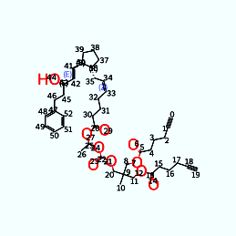 C#CCCCC(=O)OCC(C)(COC(=O)CCCC#C)COC(=O)OC(C)OC(=O)CCC/C=C\C[C@H]1CCC[C@@H]1/C=C/[C@@H](O)CCc1ccccc1